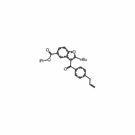 C=CCc1ccc(C(=O)c2c(CCCC)oc3ccc(C(=O)OC(C)C)cc23)cc1